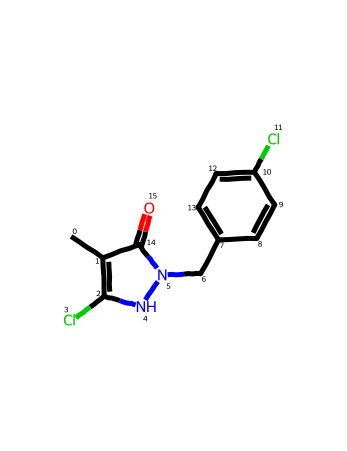 Cc1c(Cl)[nH]n(Cc2ccc(Cl)cc2)c1=O